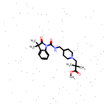 COC(=O)C(C)(C)CN1CCC(CNC(=O)N2C(=O)C(C)(C)c3ccccc32)CC1